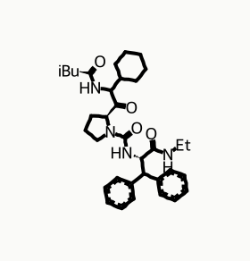 CCNC(=O)[C@@H](NC(=O)N1CCC[C@H]1C(=O)C(NC(=O)[C@H](C)CC)C1CCCCC1)C(c1ccccc1)c1ccccc1